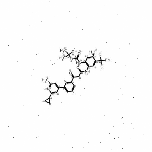 Cc1cc(-c2cccc(C(=O)CC(=O)Nc3cc(C(F)(F)F)c(C)cc3NC(=O)OC(C)(C)C)c2)cc(C2CC2)n1